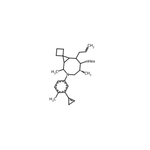 C=CCC1C(CCCCCC)[C@@H](C)CN(c2ccc(C)c(C3=CC3)c2)C(C)C2C1C21CCC1